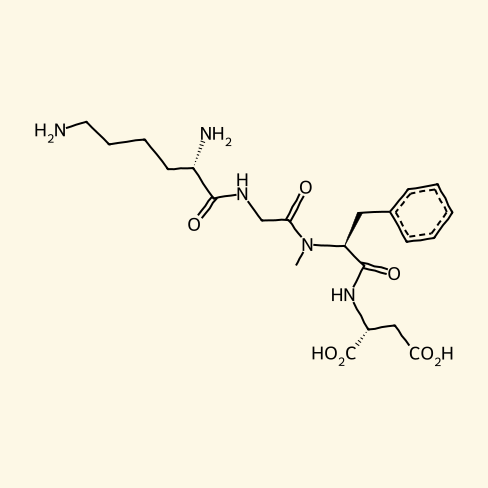 CN(C(=O)CNC(=O)[C@@H](N)CCCCN)[C@@H](Cc1ccccc1)C(=O)N[C@H](CC(=O)O)C(=O)O